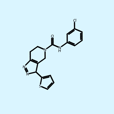 O=C(Nc1cccc(Cl)c1)N1CCC2=C(C1)C(c1cccs1)N=N2